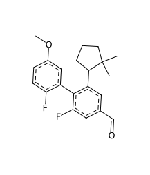 COc1ccc(F)c(-c2c(F)cc(C=O)cc2C2CCCC2(C)C)c1